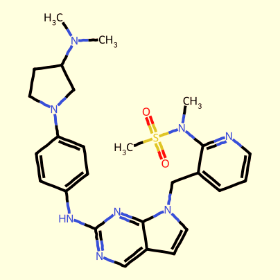 CN(C)C1CCN(c2ccc(Nc3ncc4ccn(Cc5cccnc5N(C)S(C)(=O)=O)c4n3)cc2)C1